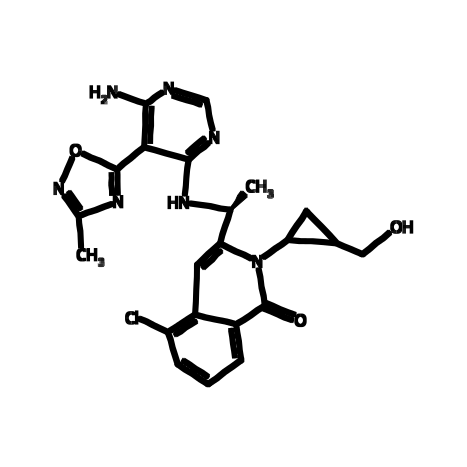 Cc1noc(-c2c(N)ncnc2N[C@@H](C)c2cc3c(Cl)cccc3c(=O)n2C2CC2CO)n1